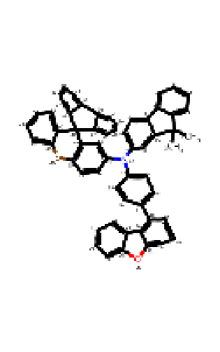 CC1(C)c2ccccc2-c2ccc(N(c3ccc(-c4cccc5oc6ccccc6c45)cc3)c3ccc4c(c3)C3(c5ccccc5S4)c4ccccc4-c4ccccc43)cc21